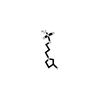 CS(=O)(=O)OCCCN1CCC(F)C1